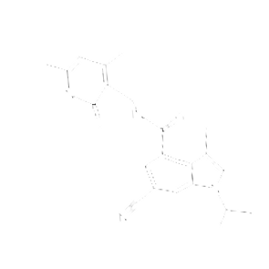 Cc1cc(C)c(CNC(=O)c2cc(C#N)cc3c2c(C)cn3C(C)C)c(=O)[nH]1